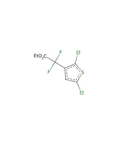 CCOC(=O)C(F)(F)c1cc(Cl)sc1Cl